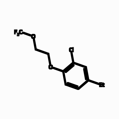 CCc1ccc(OCCOC(F)(F)F)c(Cl)c1